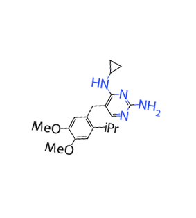 COc1cc(Cc2cnc(N)nc2NC2CC2)c(C(C)C)cc1OC